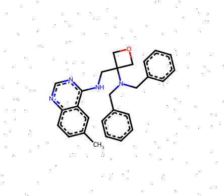 Cc1ccc2ncnc(NCC3(N(Cc4ccccc4)Cc4ccccc4)COC3)c2c1